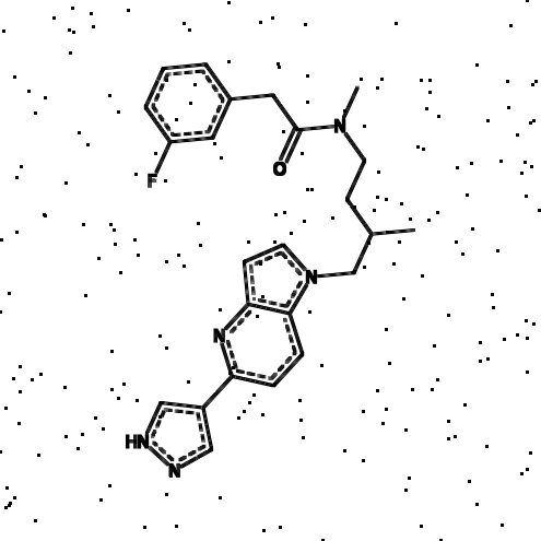 CC(CCN(C)C(=O)Cc1cccc(F)c1)Cn1ccc2nc(-c3cn[nH]c3)ccc21